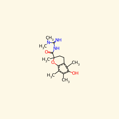 Cc1c(C)c2c(c(C)c1O)CCC(C)(C(=O)NC(=N)N(C)C)O2